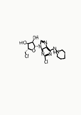 O[C@@H]1[C@H](O)[C@@H](CCl)O[C@H]1n1cnc2c(NN3CCCCC3)nc(Cl)nc21